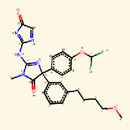 COCCCCc1cccc(C2(c3ccc(OC(F)F)cc3)N=C(NC3=NC(=O)C=N3)N(C)C2=O)c1